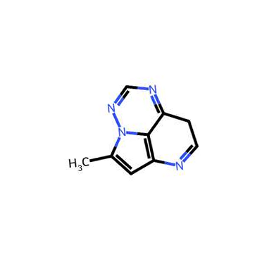 Cc1cc2c3c(ncnn13)CC=N2